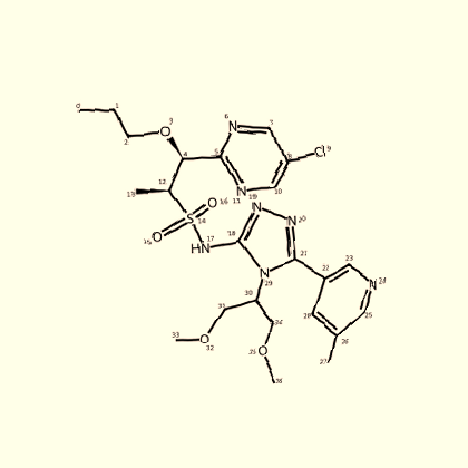 CCCO[C@@H](c1ncc(Cl)cn1)[C@H](C)S(=O)(=O)Nc1nnc(-c2cncc(C)c2)n1C(COC)COC